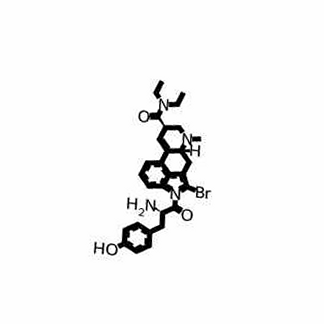 CCN(CC)C(=O)[C@@H]1C=C2c3cccc4c3c(c(Br)n4C(=O)[C@@H](N)Cc3ccc(O)cc3)C[C@H]2N(C)C1